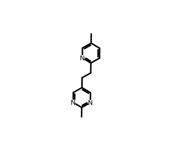 Cc1ccc(CCc2cnc(C)nc2)nc1